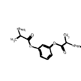 CCCCCC(C)C(=O)Oc1cccc(OC(=O)C(C)CCCCC)c1